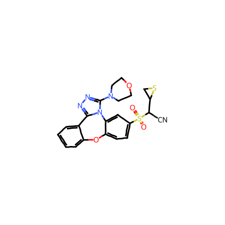 N#CC(C1CS1)S(=O)(=O)c1ccc2c(c1)-n1c(nnc1N1CCOCC1)-c1ccccc1O2